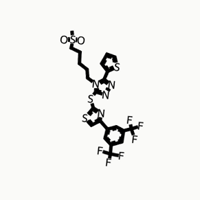 CS(=O)(=O)CCCCCn1c(Sc2nc(-c3cc(C(F)(F)F)cc(C(F)(F)F)c3)cs2)nnc1-c1cccs1